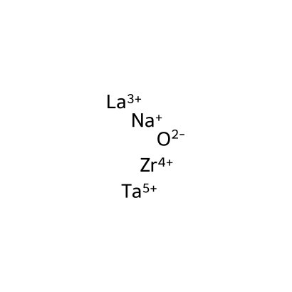 [La+3].[Na+].[O-2].[Ta+5].[Zr+4]